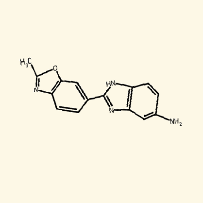 Cc1nc2ccc(-c3nc4cc(N)ccc4[nH]3)cc2o1